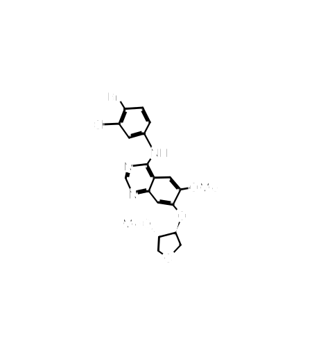 COc1cc2c(Nc3ccc(Br)c(Cl)c3)ncnc2cc1O[C@H]1COC[C@@H]1OC